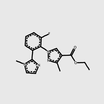 CCOC(=O)c1cn(-c2c(F)cccc2-c2nccn2C)nc1C